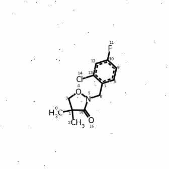 CC1(C)CON(Cc2ccc(F)cc2Cl)C1=O